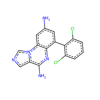 Nc1cc(-c2c(Cl)cccc2Cl)c2nc(N)c3cncn3c2c1